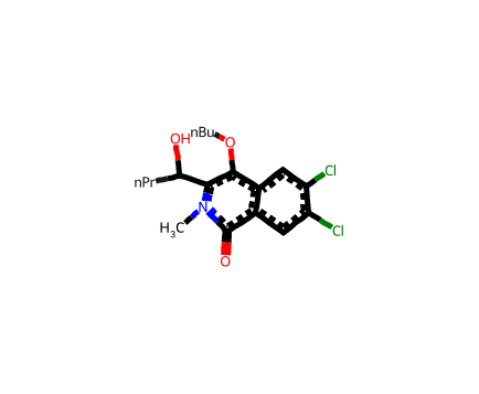 CCCCOc1c(C(O)CCC)n(C)c(=O)c2cc(Cl)c(Cl)cc12